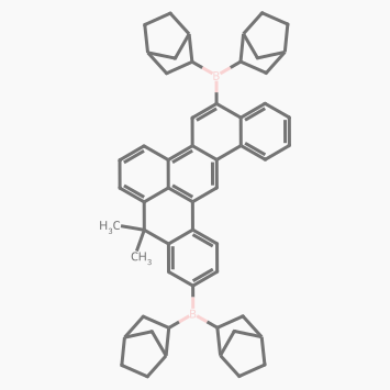 CC1(C)c2cc(B(C3CC4CCC3C4)C3CC4CCC3C4)ccc2-c2cc3c4ccccc4c(B(C4CC5CCC4C5)C4CC5CCC4C5)cc3c3cccc1c23